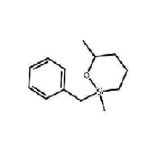 CC1CCC[Si](C)(Cc2ccccc2)O1